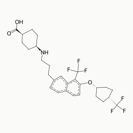 O=C(O)[C@H]1CC[C@@H](NCCCc2ccc3ccc(O[C@H]4CC[C@@H](C(F)(F)F)CC4)c(C(F)(F)F)c3c2)CC1